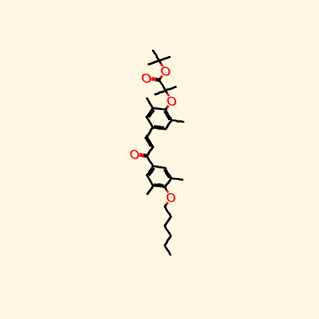 CCCCCCOc1c(C)cc(C(=O)C=Cc2cc(C)c(OC(C)(C)C(=O)OC(C)(C)C)c(C)c2)cc1C